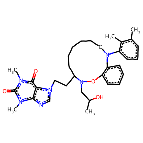 Cc1cccc(N2CCCCCCC(CCn3cnc4c3c(=O)n(C)c(=O)n4C)N(CC(C)O)Oc3ccccc32)c1C